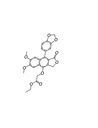 CCOC(=O)COc1c2c(c(-c3ccc4c(c3)OCO4)c3cc(OC)c(OC)cc13)C(=O)OC2